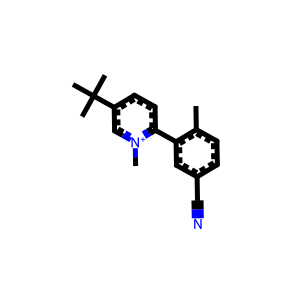 Cc1ccc(C#N)cc1-c1ccc(C(C)(C)C)c[n+]1C